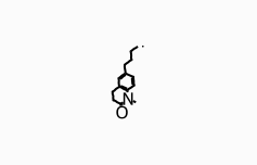 [CH2]CCCc1ccc2c(c1)CCC(=O)N2C